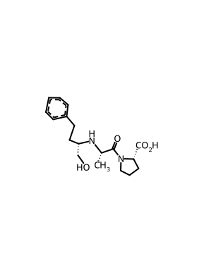 C[C@H](N[C@H](CO)CCc1ccccc1)C(=O)N1CCC[C@H]1C(=O)O